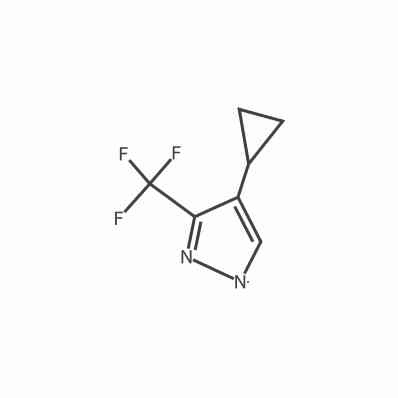 FC(F)(F)C1=N[N]C=C1C1CC1